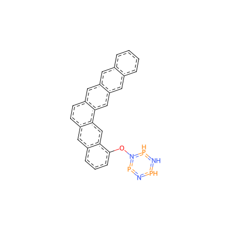 c1ccc2cc3cc4c(ccc5cc6cccc(On7pn[pH][nH][pH]7)c6cc54)cc3cc2c1